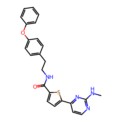 CNc1nccc(-c2ccc(C(=O)NCCc3ccc(Oc4ccccc4)cc3)s2)n1